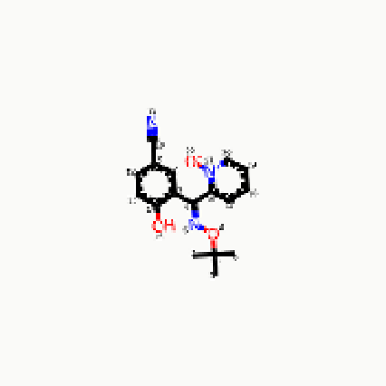 CC(C)(C)O/N=C(/c1cc(C#N)ccc1O)c1cccc[n+]1[O-]